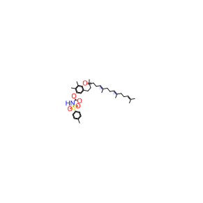 CC(C)=CCC/C(C)=C/CC/C(C)=C/CC[C@]1(C)CCc2cc(OC(=O)NS(=O)(=O)c3ccc(C)cc3)c(C)c(C)c2O1